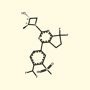 C[C@H]1[C@H](O)CN1c1nc(-c2ccc(C(F)F)c(S(C)(=N)=O)c2)c2c(n1)C(F)(F)CC2